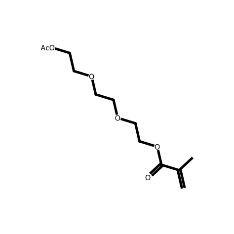 C=C(C)C(=O)OCCOCCOCCOC(C)=O